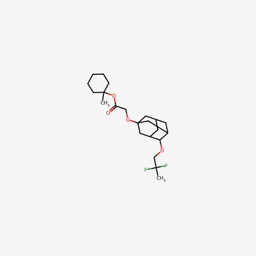 CC(F)(F)COC1C2CC3CC1CC(OCC(=O)OC1(C)CCCCC1)(C3)C2